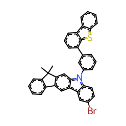 CC1(C)c2ccccc2-c2cc3c4cc(Br)ccc4n(-c4cccc(-c5cccc6c5sc5ccccc56)c4)c3cc21